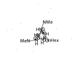 CCCCCCC(=O)CC1CC2CNC(=O)N3CC(NC(=O)CCCCCNC)CC3CNC(=O)N3CC(NC(=O)CCCCCNC)CC3CNC(=O)N2C1